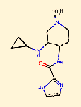 O=C(NC1CCN(C(=O)O)CC1NC1CC1)c1ncc[nH]1